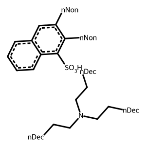 CCCCCCCCCCCCN(CCCCCCCCCCCC)CCCCCCCCCCCC.CCCCCCCCCc1cc2ccccc2c(S(=O)(=O)O)c1CCCCCCCCC